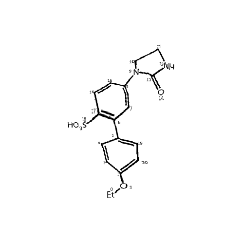 CCOc1ccc(-c2cc(N3CCNC3=O)ccc2S(=O)(=O)O)cc1